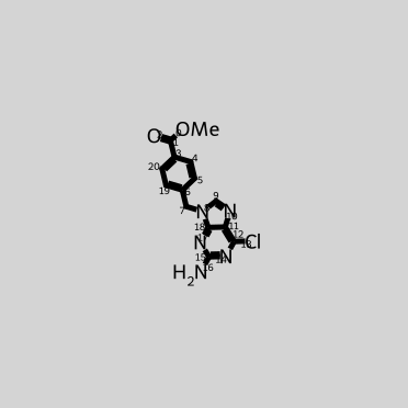 COC(=O)c1ccc(Cn2cnc3c(Cl)nc(N)nc32)cc1